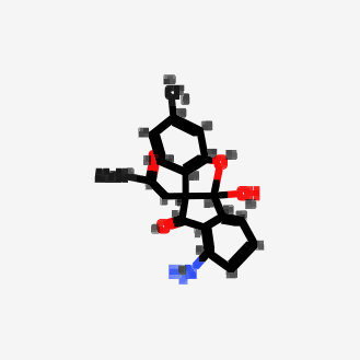 CNC(=O)CC12C(=O)c3c(N)cccc3C1(O)Oc1cc(C(F)(F)F)ccc12